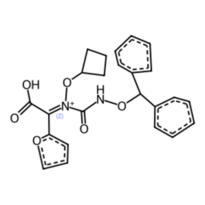 O=C(O)/C(c1ccco1)=[N+](\OC1CCC1)C(=O)NOC(c1ccccc1)c1ccccc1